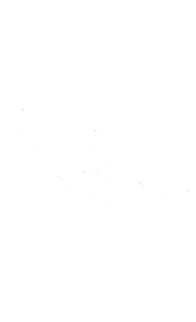 COc1c(N2CCC(C(=O)O)CC2)c(F)cc2c(=O)c(C(=O)NCc3ccc(OC(F)(F)F)cc3C)cn(CCF)c12